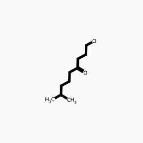 CC(C)CCCC(=O)CCC[O]